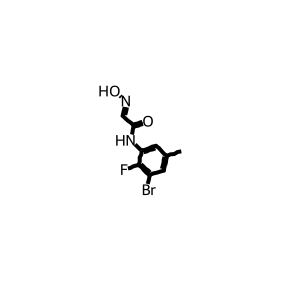 Cc1cc(Br)c(F)c(NC(=O)/C=N/O)c1